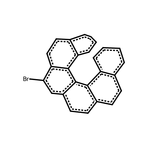 Brc1cc2ccc3ccc4ccccc4c3c2c2c1ccc1ccccc12